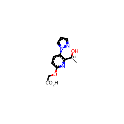 C[C@@H](O)c1nc(OCC(=O)O)ccc1-n1cccn1